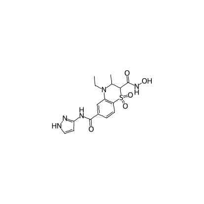 CCN1c2cc(C(=O)Nc3cc[nH]n3)ccc2S(=O)(=O)C(C(=O)NO)C1C